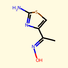 C/C(=N\O)c1csc(N)n1